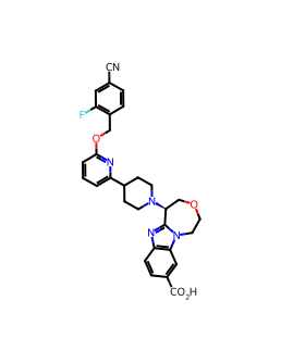 N#Cc1ccc(COc2cccc(C3CCN([C@H]4COCCn5c4nc4ccc(C(=O)O)cc45)CC3)n2)c(F)c1